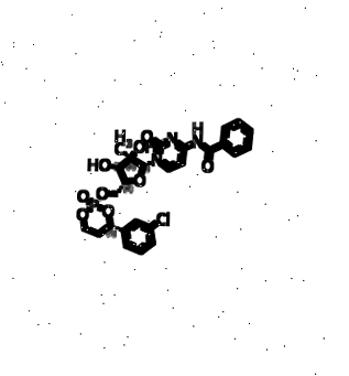 C[C@@]1(O)[C@H](O)[C@@H](COP2(=O)OCC[C@@H](c3cccc(Cl)c3)O2)O[C@H]1n1ccc(NC(=O)c2ccccc2)nc1=O